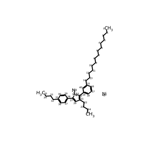 CCCCCCCCCCCCCCCc1cccc(C2=C(CCCC)C=C(c3ccc(CCCC)cc3)[N+]2=[N-])c1.[Ni]